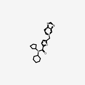 O=C(c1ccc(Cn2ccc3ncnc-3c2)o1)N(C1CCCCC1)C1CCCC1